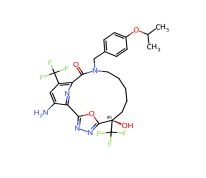 CC(C)Oc1ccc(CN2CCCCC[C@](O)(C(F)(F)F)c3nnc(o3)-c3nc(c(C(F)(F)F)cc3N)C2=O)cc1